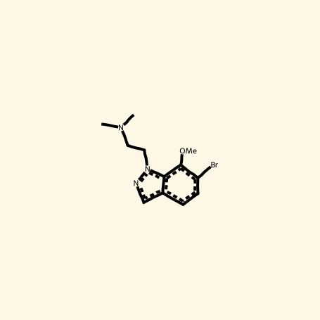 COc1c(Br)ccc2cnn(CCN(C)C)c12